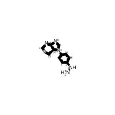 NNc1ccc(-n2cnc3ncncc32)cc1